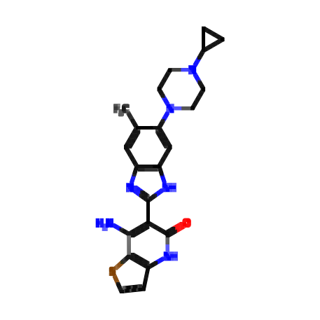 Nc1c(-c2nc3cc(C(F)(F)F)c(N4CCN(C5CC5)CC4)cc3[nH]2)c(=O)[nH]c2ccsc12